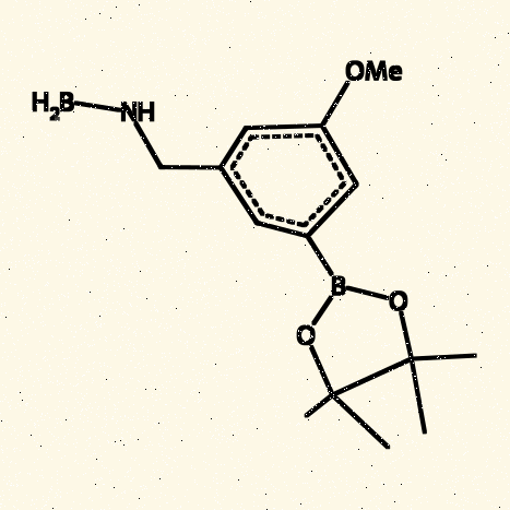 BNCc1cc(OC)cc(B2OC(C)(C)C(C)(C)O2)c1